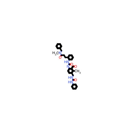 Cc1c(CNC(=O)Nc2ccccc2)ccc2nc(Nc3ccccc3CCC(=O)N(C)Cc3ccccc3)oc(=O)c12